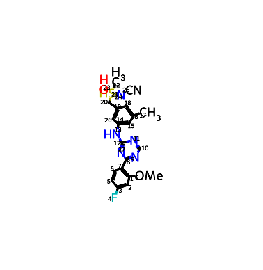 COc1cc(F)ccc1-c1ncnc(Nc2cc(C)cc(C[SH](C)(O)=NC#N)c2)n1